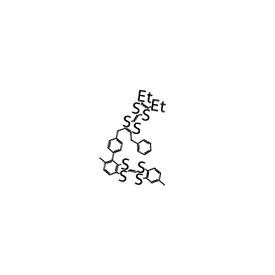 CCC1=C(CC)SC(=C2SC(Cc3ccccc3)=C(Cc3ccc(-c4c(C)ccc5c4S/C(=C4\Sc6ccc(C)cc6S4)S5)cc3)S2)S1